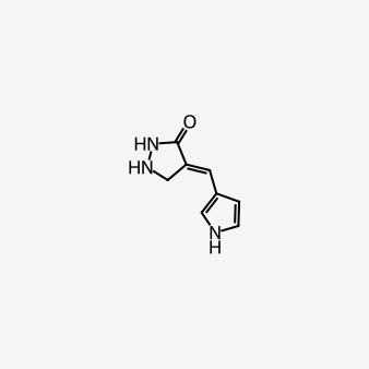 O=C1NNCC1=Cc1cc[nH]c1